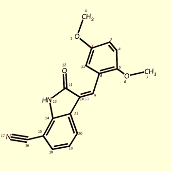 COc1ccc(OC)c(/C=C2\C(=O)Nc3c(C#N)cccc32)c1